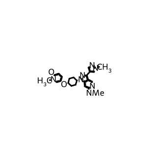 CNc1cc2c(cn1)c(-c1cnn(C)c1)nn2[C@H]1CC[C@@H](Oc2ccc(=O)n(C)c2)CC1